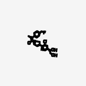 CN(C(=O)N1CC=C(c2ncc([C@H](O)CO)cc2Cl)CC1)c1ccc(CF)cc1